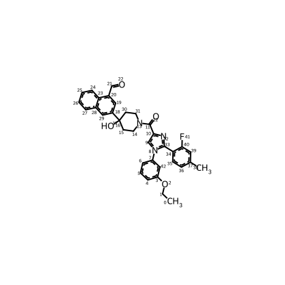 CCOc1cccc(-n2cc(C(=O)N3CCC(O)(c4cc(C=O)c5ccccc5c4)CC3)nc2-c2ccc(C)cc2F)c1